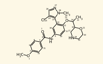 COc1ccc(C(=O)Nc2ccc(OC(C)C3CNCCO3)c(-c3c(Cl)cnn3C)c2)cc1